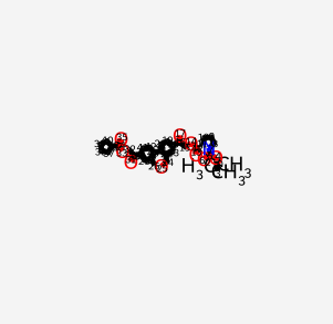 CC(C)(C)OC(=O)N1CCC[C@@H]1C(=O)OCC(=O)c1ccc2c(c1)COCc1cc(C(=O)COC(=O)C3CCCC3)ccc1-2